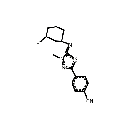 Cn1nc(-c2ccc(C#N)cc2)s/c1=N/C1CCCC(F)C1